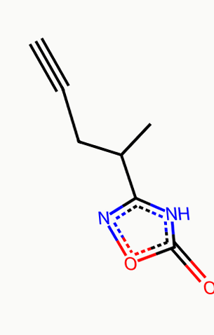 C#CCC(C)c1noc(=O)[nH]1